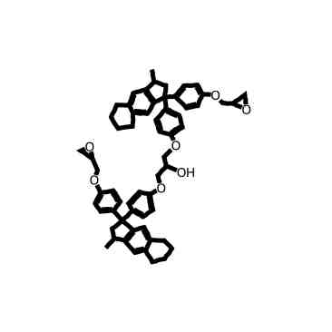 CC1CC(c2ccc(OCC(O)COc3ccc(C4(c5ccc(OCC6CO6)cc5)CC(C)c5cc6c(cc54)CCCC6)cc3)cc2)(c2ccc(OCC3CO3)cc2)c2cc3c(cc21)CCCC3